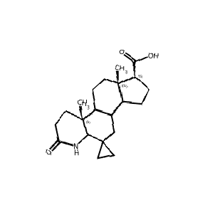 C[C@]12CCC(=O)NC1C1(CC1)CC1C2CC[C@@]2(C)C1CC[C@@H]2C(=O)O